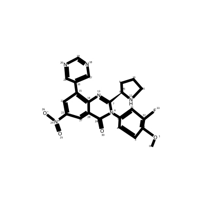 COc1ccc(-n2c([C@H]3CCCN3)nc3c(-c4cncnc4)cc([N+](=O)[O-])cc3c2=O)cc1F